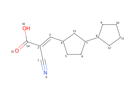 N#C/C(=C\C1CCC(C2CCCC2)C1)C(=O)O